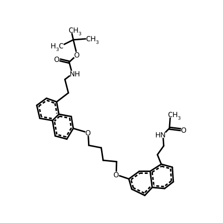 CC(=O)NCCc1cccc2ccc(OCCCCOc3ccc4cccc(CCNC(=O)OC(C)(C)C)c4c3)cc12